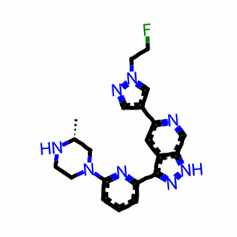 C[C@@H]1CN(c2cccc(-c3n[nH]c4cnc(-c5cnn(CCF)c5)cc34)n2)CCN1